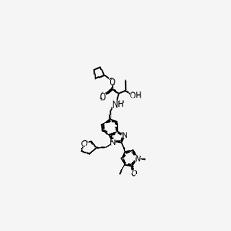 Cc1cc(-c2nc3cc(CNC(C(=O)OC4CCC4)C(C)O)ccc3n2CC2CCOC2)cn(C)c1=O